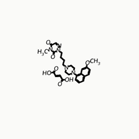 COc1ccc2cccc(N3CCN(CCCCn4ncc(=O)n(C)c4=O)CC3)c2c1.O=C(O)C=CC(=O)O